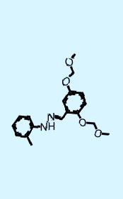 COCOc1ccc(OCOC)c(/C=N/Nc2ccccc2C)c1